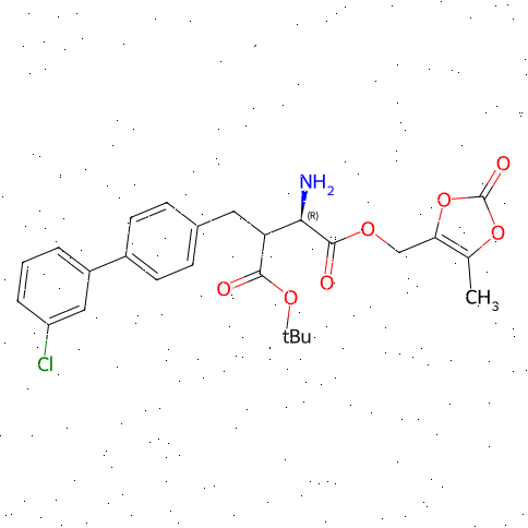 Cc1oc(=O)oc1COC(=O)[C@H](N)C(Cc1ccc(-c2cccc(Cl)c2)cc1)C(=O)OC(C)(C)C